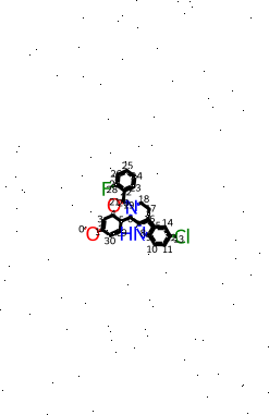 COC1=CCC(C2c3[nH]c4ccc(Cl)cc4c3CCN2C(=O)c2ccccc2F)C=C1